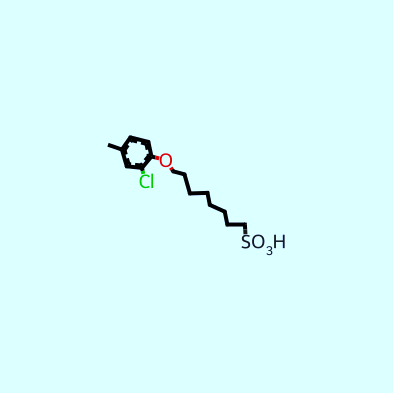 Cc1ccc(OCCCCCCCCS(=O)(=O)O)c(Cl)c1